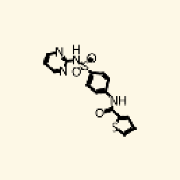 O=C(Nc1ccc(S(=O)(=O)Nc2ncccn2)cc1)c1cccs1